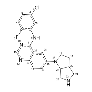 Fc1ccc(Cl)cc1Nc1ncnc2ccc(N3CCC4CNCC43)nc12